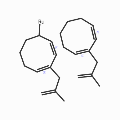 C=C(C)CC1=C/CCCC/C=C\1.C=C(C)CC1=C/CCC[CH]([Ru])/C=C\1